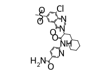 CS(=O)(=O)c1cc(Cl)c2ncn(C(CC3CCCCC3)C(=O)Nc3ccc(C(N)=O)cn3)c(=O)c2c1